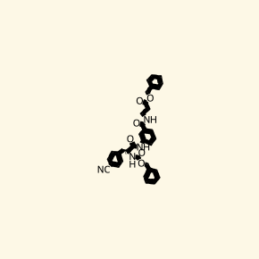 N#Cc1ccc(C[C@H](NC(=O)OCc2ccccc2)C(=O)Nc2cccc(C(=O)NCCC(=O)OCc3ccccc3)c2)cc1